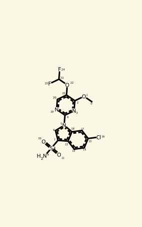 COc1nc(-n2cc(S(N)(=O)=O)c3ccc(Cl)cc32)ncc1OC(F)F